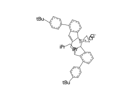 CC(C)CC1=Cc2c(-c3ccc(C(C)(C)C)cc3)cccc2[CH]1[Ti+2]1([CH]2C(CC(C)C)=Cc3c(-c4ccc(C(C)(C)C)cc4)cccc32)[CH2][CH2]1.[Cl-].[Cl-]